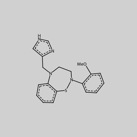 COc1ccccc1N1CCN(Cc2c[nH]cn2)c2ccccc2S1